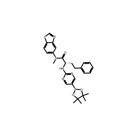 CN(C(=O)[C@H](CCc1ccccc1)Nc1ncc(B2OC(C)(C)C(C)(C)O2)cn1)c1ccc2scnc2c1